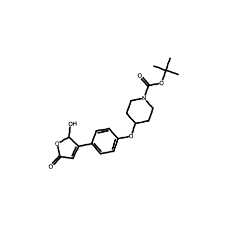 CC(C)(C)OC(=O)N1CCC(Oc2ccc(C3=CC(=O)OC3O)cc2)CC1